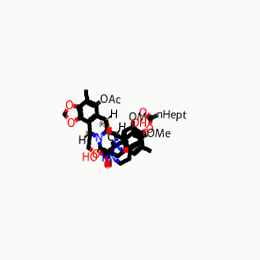 CCCCCCCC(=O)Oc1cc2c(cc1OC)[C@@]1(CS[C@@H]3c4c(OC(C)=O)c(C)c5c(c4[C@H](COC1=O)N1C3[C@H]3c4c(cc(C)c(OC)c4O)C[C@H]([C@@H]1O)N3C)OCO5)NCC2